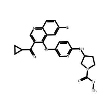 CC(C)(C)OC(=O)N1CCC(Nc2ccc(Nc3c(C(=O)C4CC4)cnc4ccc(Br)cc34)cn2)C1